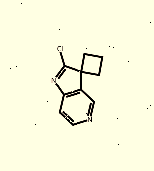 ClC1=Nc2ccncc2C12CCC2